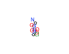 N#Cc1cccc(N2CC(N3C(=O)C(=O)N(c4ccccc4Cl)C3=O)CC2=O)c1